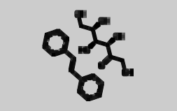 C(=C\c1ccccc1)/c1ccccc1.O=C(CO)[C@H](O)[C@@H](O)[C@H](O)CO